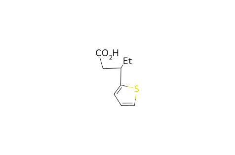 CCC(CC(=O)O)c1cccs1